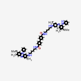 C=C1C=C(NCCCCCCNC(=O)c2ccc(-c3ccc(C(=O)NCCCCCCNc4cc5c(cc4C)nc4cc(C)c(NC)cc4[n+]5-c4ccccc4)cc3)cc2)C(C)=C/C1=N/c1cc(C)c(NC)cc1Nc1ccccc1